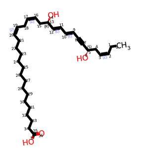 CC/C=C\C[C@H](O)C#C/C=C/C=C/[C@H](O)C/C=C\C/C=C\CCCCCCCCCCCCCCC(=O)O